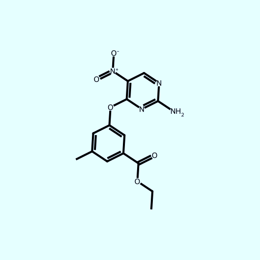 CCOC(=O)c1cc(C)cc(Oc2nc(N)ncc2[N+](=O)[O-])c1